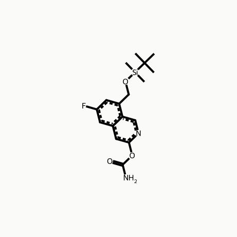 CC(C)(C)[Si](C)(C)OCc1cc(F)cc2cc(OC(N)=O)ncc12